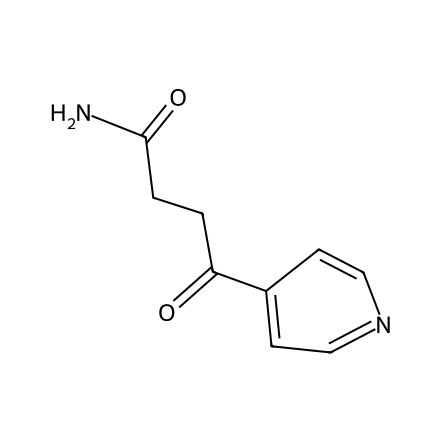 NC(=O)CCC(=O)c1ccncc1